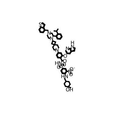 CC(C)c1ccccc1C1CN(Cc2cccc3sccc23)CCN1C1CC2(CCN(c3ccc(C(=O)NS(=O)(=O)c4ccc(NCC5CCC(C)(O)CC5)c([N+](=O)[O-])c4)c(Oc4cnc5[nH]ccc5c4)c3)CC2)C1